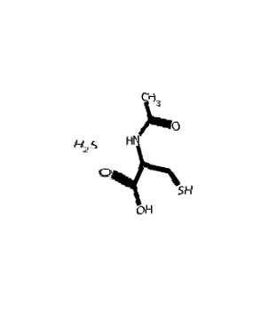 CC(=O)NC(CS)C(=O)O.S